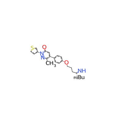 CC[C@@H](C)C(=N)CCCOc1ccc(-c2cc(=O)n(-c3ccsc3)nc2C)cc1